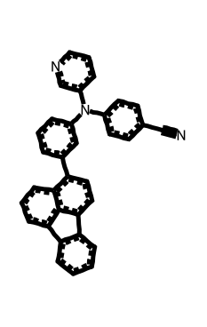 N#Cc1ccc(N(c2cccnc2)c2cccc(-c3ccc4c5c(cccc35)-c3ccccc3-4)c2)cc1